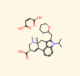 CC(C)n1c(CC2CCCCO2)c2c3c(cccc31)C1=C[C@@H](C(=O)O)CN(C)[C@@H]1C2.O=C(O)/C=C\C(=O)O